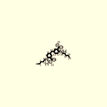 CCCCCNc1ccc(Cc2ccc(NCCCCC)c(C(=O)OC)c2)cc1C(=O)OC